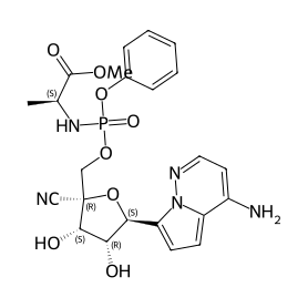 COC(=O)[C@H](C)NP(=O)(OC[C@@]1(C#N)O[C@@H](c2ccc3c(N)ccnn23)[C@H](O)[C@@H]1O)Oc1ccccc1